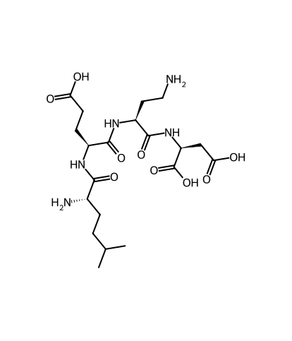 CC(C)CC[C@H](N)C(=O)N[C@@H](CCC(=O)O)C(=O)N[C@@H](CCN)C(=O)N[C@@H](CC(=O)O)C(=O)O